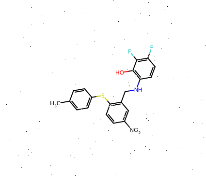 Cc1ccc(Sc2ccc([N+](=O)[O-])cc2CNc2ccc(F)c(F)c2O)cc1